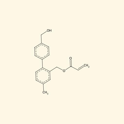 C=CC(=O)OCc1cc(C)ccc1-c1ccc(CO)cc1